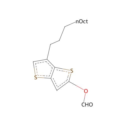 CCCCCCCCCCCc1csc2cc(OC=O)sc12